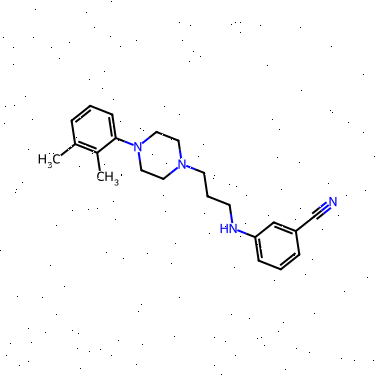 Cc1cccc(N2CCN(CCCNc3cccc(C#N)c3)CC2)c1C